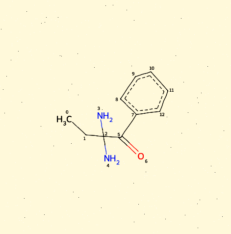 CCC(N)(N)C(=O)c1ccccc1